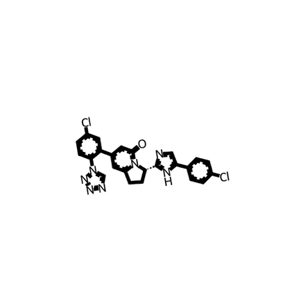 O=c1cc(-c2cc(Cl)ccc2-n2cnnn2)cc2n1[C@H](c1ncc(-c3ccc(Cl)cc3)[nH]1)CC2